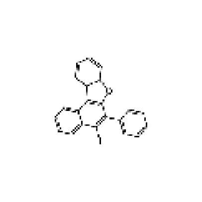 Ic1c(-c2ccccc2)c2c(c3ccccc13)C1C=CC=CC1O2